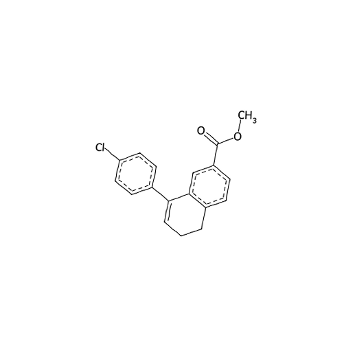 COC(=O)c1ccc2c(c1)C(c1ccc(Cl)cc1)=CCC2